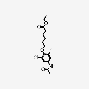 CCOC(=O)CCCCCOc1c(Cl)cc(NC(C)=O)cc1Cl